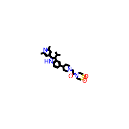 Cc1cc(-c2[nH]c3ccc(C4CCN(CC(=O)N5CCS(=O)(=O)CC5)CC4)cc3c2C(C)C)cc(C)n1